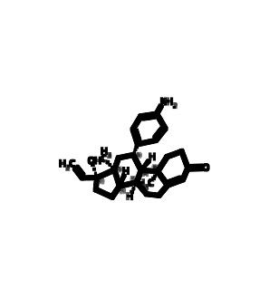 C=C[C@]1(O)CC[C@H]2[C@@H]3CCC4=CC(=O)CC[C@]4(C)[C@H]3[C@@H](c3ccc(N)cc3)C[C@@]21C